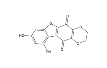 O=C1C2=C(OCCO2)C(=O)c2c1oc1cc(O)cc(O)c21